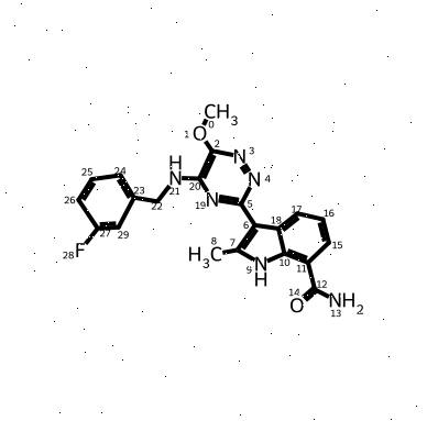 COc1nnc(-c2c(C)[nH]c3c(C(N)=O)cccc23)nc1NCc1cccc(F)c1